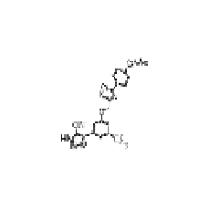 COc1ccc(-c2nc(COc3cc(-c4nn[nH]c4C#N)cc(C(F)(F)F)c3)no2)cc1